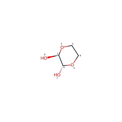 O[C@H]1OCCO[C@@H]1O